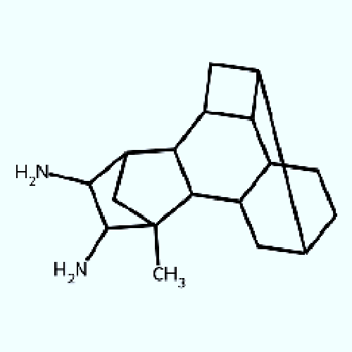 CC12CC(C(N)C1N)C1C3CC4C5CCC(C(C5)C12)C43